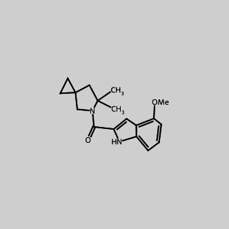 COc1cccc2[nH]c(C(=O)N3CC4(CC4)CC3(C)C)cc12